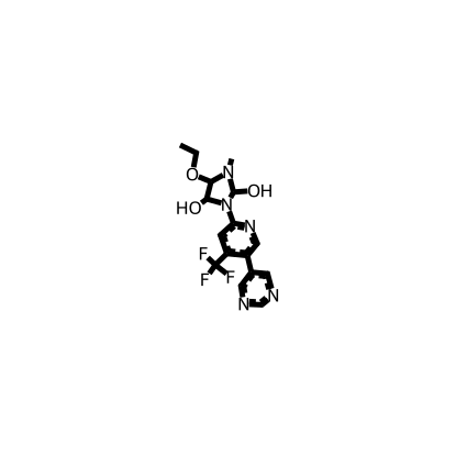 CCOC1C(O)N(c2cc(C(F)(F)F)c(-c3cncnc3)cn2)C(O)N1C